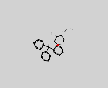 [N-]=[N+]=N[C@@H]1COC[C@H](OC(c2ccccc2)(c2ccccc2)c2ccccc2)[C@H]1O